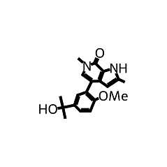 COc1ccc(C(C)(C)O)cc1-c1cn(C)c(=O)c2[nH]c(C)cc12